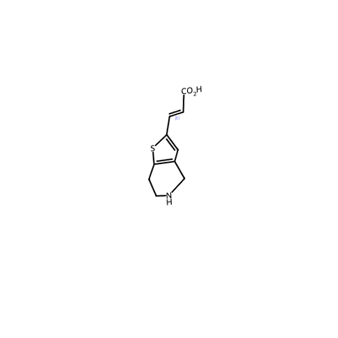 O=C(O)/C=C/c1cc2c(s1)CCNC2